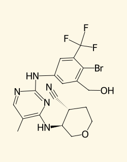 Cc1cnc(Nc2cc(CO)c(Br)c(C(F)(F)F)c2)nc1N[C@@H]1COCC[C@H]1C#N